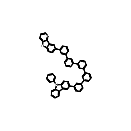 c1ccc(-n2c3ccccc3c3cc(-c4cccc(-c5cccc(-c6cccc(-c7cccc(-c8cccc(-c9ccc%10oc%11cccnc%11c%10c9)c8)c7)c6)c5)c4)ccc32)cc1